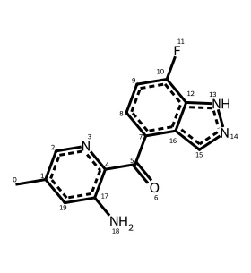 Cc1cnc(C(=O)c2ccc(F)c3[nH]ncc23)c(N)c1